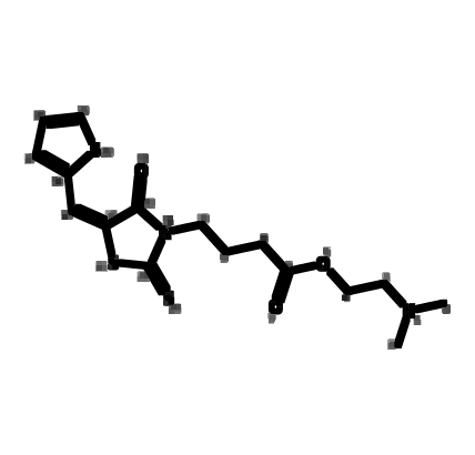 CN(C)CCOC(=O)CCCN1C(=O)/C(=C\c2cccs2)SC1=S